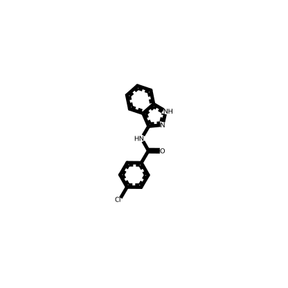 O=C(Nc1n[nH]c2ccccc12)c1ccc(Cl)cc1